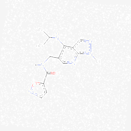 CCCC(CCC)Nc1c(CN(C)C(=O)c2ccno2)cnc2c1cnn2CC